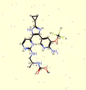 COC(=O)N[C@@H](C)CNc1nccc(-c2[nH]c(C3CC3)nc2-c2cnc(N)c(OC(F)(F)F)c2)n1